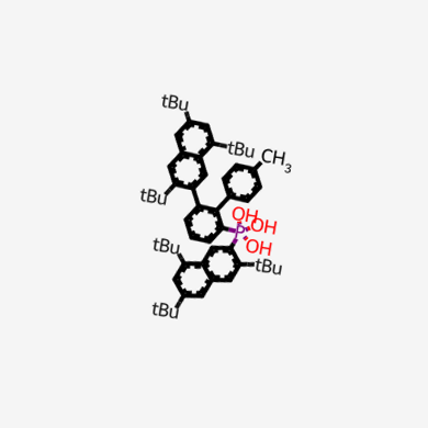 Cc1ccc(-c2c(-c3cc4c(C(C)(C)C)cc(C(C)(C)C)cc4cc3C(C)(C)C)cccc2P(O)(O)(O)c2cc3c(C(C)(C)C)cc(C(C)(C)C)cc3cc2C(C)(C)C)cc1